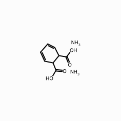 N.N.O=C(O)C1C=CC=CC1C(=O)O